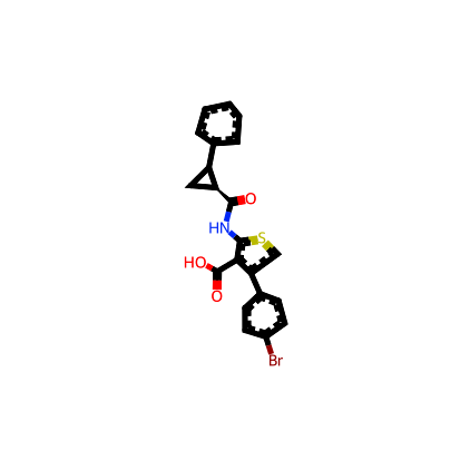 O=C(O)c1c(-c2ccc(Br)cc2)csc1NC(=O)[C@H]1CC1c1ccccc1